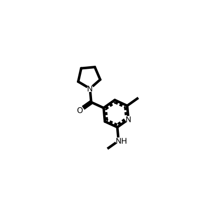 CNc1cc(C(=O)N2CCCC2)cc(C)n1